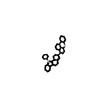 c1ccc(-n2c3ccccc3c3ccc4cc(-c5ccc6c7c(cccc57)-c5ccccc5S6)ccc4c32)cc1